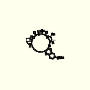 COc1ccc2nc3c(nc2c1)O[C@H]1CN(C(=O)[C@H](C(C)(C)C)NC(=O)O[C@@H]2C4CC(C4)C[C@H]2CCCCC3)[C@H](C(C)=O)[C@@H]1C